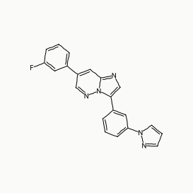 Fc1cccc(-c2cnn3c(-c4cccc(-n5cccn5)c4)cnc3c2)c1